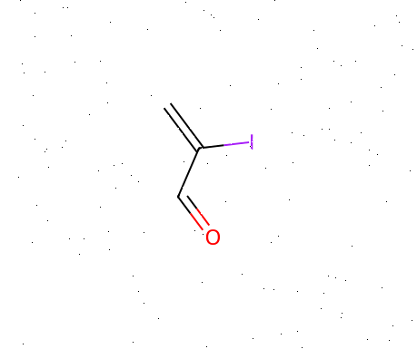 C=C(I)C=O